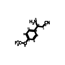 N#CCC(N)c1ccc(OC(F)(F)F)cc1